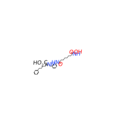 O=C(CCCCCCC(=O)Nc1cccc(CN[C@@H](CCCCc2ccccc2)C(=O)O)c1)NO